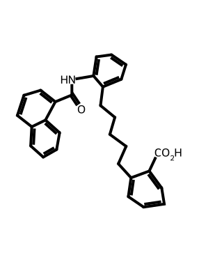 O=C(O)c1ccccc1CCCCCc1ccccc1NC(=O)c1cccc2ccccc12